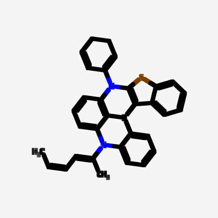 C/C=C\C=C(/C)N1c2ccccc2B2c3c(cccc31)N(C1=CCCC=C1)c1sc3ccccc3c12